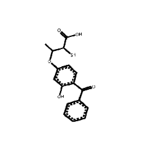 CC(Oc1ccc(C(=O)c2ccccc2)c(O)c1)C(S)C(=O)O